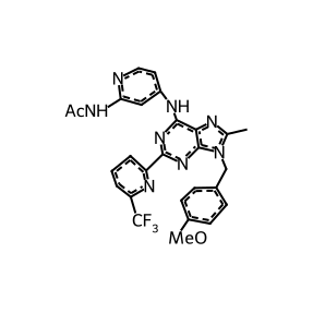 COc1ccc(Cn2c(C)nc3c(Nc4ccnc(NC(C)=O)c4)nc(-c4cccc(C(F)(F)F)n4)nc32)cc1